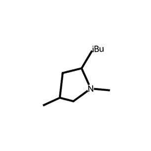 CCC(C)C1CC(C)CN1C